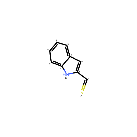 S=Cc1cc2ccccc2[nH]1